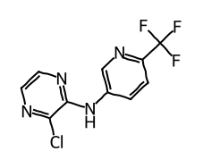 FC(F)(F)c1ccc(Nc2nccnc2Cl)cn1